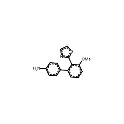 COc1cccc(-c2ccc(N)cc2)c1-c1nccs1